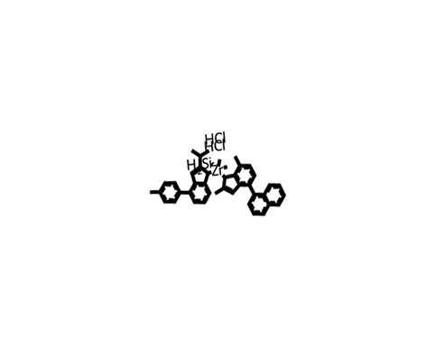 CC1=Cc2c(-c3cccc4ccccc34)ccc(C)c2[CH]1[Zr]([CH3])([CH3])(=[SiH2])[CH]1C(C(C)C)=Cc2c(-c3ccc(C)cc3)cccc21.Cl.Cl